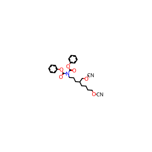 N#COCCCCC(CCCN(C(=O)Oc1ccccc1)C(=O)Oc1ccccc1)COC#N